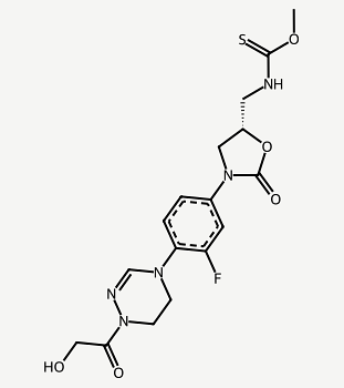 COC(=S)NC[C@H]1CN(c2ccc(N3C=NN(C(=O)CO)CC3)c(F)c2)C(=O)O1